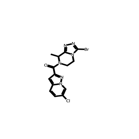 CC1c2nnc(Br)n2CCN1C(=O)c1cc2ccc(Cl)cn2n1